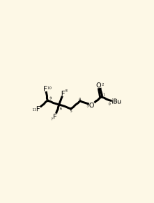 CCC(C)C(=O)OCCC(F)(F)C(F)F